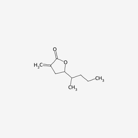 C=C1CC(C(C)CCC)OC1=O